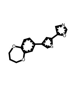 [c]1sc(-c2cnco2)cc1-c1ccc2c(c1)OCCCO2